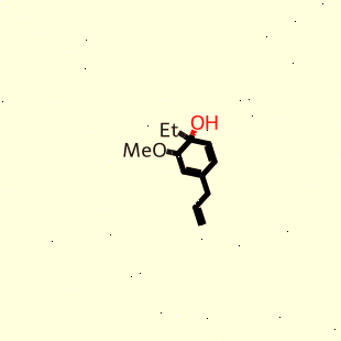 C=CCC1=CC(OC)C(O)(CC)C=C1